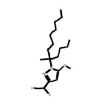 CCCCCCCC(C)(CCCC)n1nc(C(F)F)cc1OC